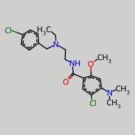 CCN(CCNC(=O)c1cc(Cl)c(N(C)C)cc1OC)Cc1ccc(Cl)cc1